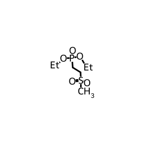 CCOP(=O)(CCS(C)(=O)=O)OCC